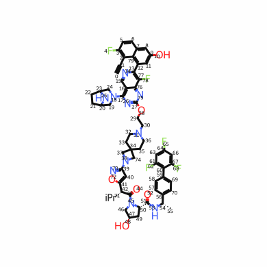 C#Cc1c(F)ccc2cc(O)cc(-c3ncc4c(N5CC6CCC(C5)N6)nc(OCCN5CCC6(CC5)CN(c5cc([C@H](C(=O)N7C[C@H](O)C[C@H]7C(=O)N[C@@H](C)c7ccc(-c8c(F)cc(F)cc8F)cc7)C(C)C)on5)C6)nc4c3F)c12